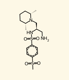 C[C@@H]1CCC[C@H](C)N1C[C@@H](CN)NS(=O)(=O)c1ccc(S(C)(=O)=O)cc1